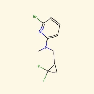 CN(CC1CC1(F)F)c1cccc(Br)n1